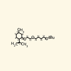 C=C(C)C1CCC(C)CC1OCCOCCCCOC(C)(C)C